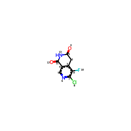 O=C1Cc2c(cnc(Cl)c2F)C(=O)N1